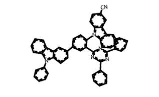 N#Cc1ccc2c(c1)c1ccccc1n2-c1ccc(-c2ccc3c(c2)c2ccccc2n3-c2ccccc2)cc1-c1nc(-c2ccccc2)nc(-c2ccccc2)n1